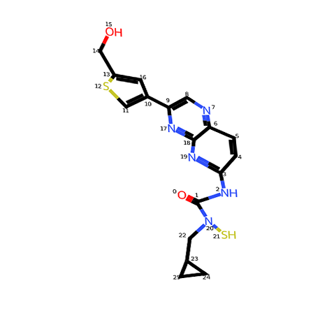 O=C(Nc1ccc2ncc(-c3csc(CO)c3)nc2n1)N(S)CC1CC1